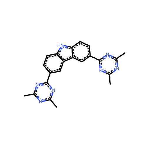 Cc1nc(C)nc(-c2ccc3[nH]c4ccc(-c5nc(C)nc(C)n5)cc4c3c2)n1